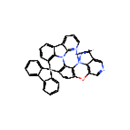 c1ccc2c(c1)-c1ccccc1[Si]21c2ccc3c4c2-n2c5c1cccc5c1ccc[n+](c12)[N+]41c2c(cncc2-c2cccc[n+]21)O3